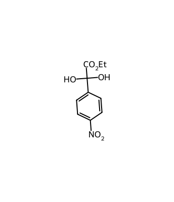 CCOC(=O)C(O)(O)c1ccc([N+](=O)[O-])cc1